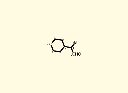 O=CC(Br)C1CCOCC1